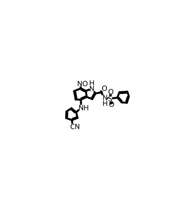 N#Cc1cccc(Nc2ccc(N=O)c3[nH]c(C(=O)NS(=O)(=O)c4ccccc4)cc23)c1